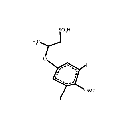 COc1c(I)cc(OC(CS(=O)(=O)O)C(F)(F)F)cc1I